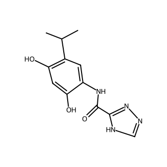 CC(C)c1cc(NC(=O)c2nnc[nH]2)c(O)cc1O